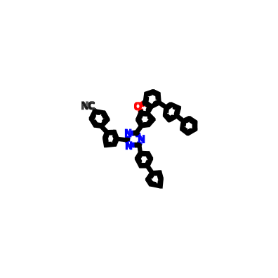 N#Cc1ccc(-c2cccc(-c3nc(-c4ccc(-c5ccccc5)cc4)nc(-c4ccc5c(c4)oc4cccc(-c6ccc(-c7ccccc7)cc6)c45)n3)c2)cc1